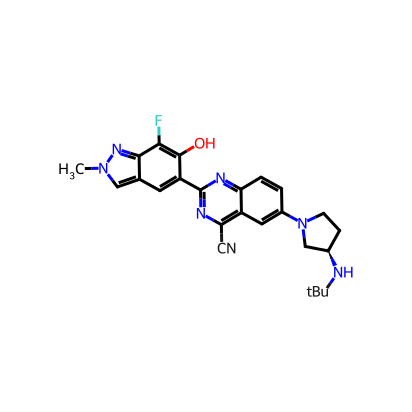 Cn1cc2cc(-c3nc(C#N)c4cc(N5CC[C@@H](NC(C)(C)C)C5)ccc4n3)c(O)c(F)c2n1